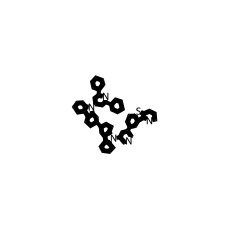 c1ccc(-c2cc(-n3c4ccccc4c4ccc(-c5ccc6c(c5)c5ccccc5n6-c5cncc(-c6ccc7sc8cccnc8c7c6)c5)cc43)cc(-c3ccccc3)n2)cc1